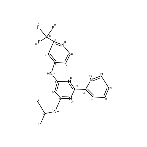 CC(C)Nc1cc(Nc2ccnc(C(F)(F)F)c2)nc(-c2ccccn2)n1